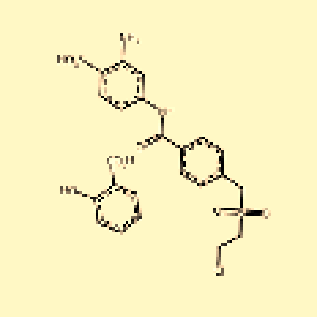 Nc1cc(NC(=O)c2ccc(CS(=O)(=O)CCCl)cc2)ccc1S(=O)(=O)O.O=C(O)c1ccccc1O